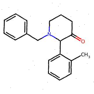 Cc1ccccc1C1C(=O)CCCN1Cc1ccccc1